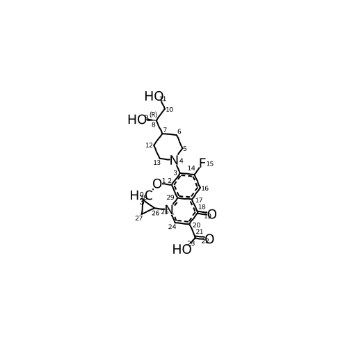 COc1c(N2CCC([C@@H](O)CO)CC2)c(F)cc2c(=O)c(C(=O)O)cn(C3CC3)c12